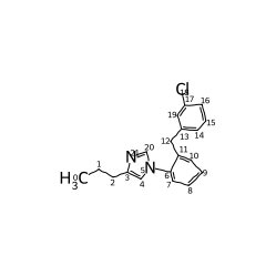 CCCc1cn(-c2ccccc2Cc2cccc(Cl)c2)cn1